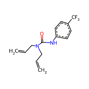 C=CCN(CC=C)C(=O)Nc1ccc(C(F)(F)F)cc1